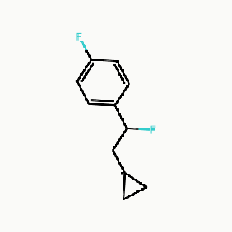 Fc1ccc(C(F)C[C]2CC2)cc1